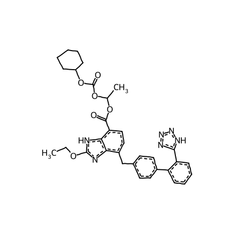 CCOc1nc2c(Cc3ccc(-c4ccccc4-c4nnn[nH]4)cc3)ccc(C(=O)OC(C)OC(=O)OC3CCCCC3)c2[nH]1